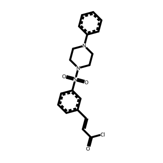 O=C(Cl)/C=C/c1cccc(S(=O)(=O)N2CCN(c3ccccc3)CC2)c1